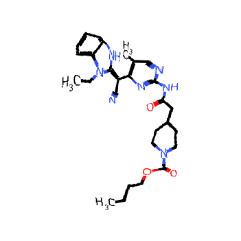 CCCCOC(=O)N1CCC(CC(=O)Nc2ncc(C)c(/C(C#N)=C3\Nc4ccccc4N3CC)n2)CC1